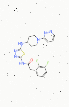 O=C(Cc1cccc(F)c1F)Nc1nnc(NC2CCN(c3cccnn3)CC2)s1